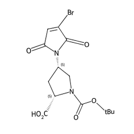 CC(C)(C)OC(=O)N1C[C@@H](N2C(=O)C=C(Br)C2=O)C[C@H]1C(=O)O